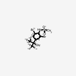 CS(=O)(=O)Nc1c(Br)cc(C(O)(C(F)(F)F)C(F)(F)F)cc1Br